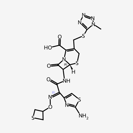 Cn1nnnc1SCC1=C(C(=O)O)N2C(=O)C(NC(=O)/C(=N/OC3CSC3)c3csc(N)n3)[C@H]2SC1